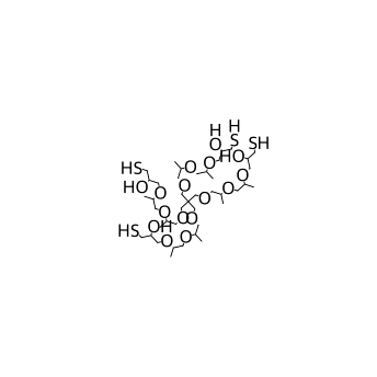 CC(COCC(COCC(C)OCC(C)OCC(O)CS)(COCC(C)OCC(C)OCC(O)CS)COCC(C)OCC(C)OCC(O)CS)OCC(C)OCC(O)CS